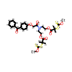 CCOC(=S)SC(C)(C)C(=O)OCCN(CCOC(=O)C(C)(C)SC(=S)OCC)C(=O)COc1ccc(C(=O)c2ccccc2)cc1